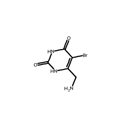 NCc1[nH]c(=O)[nH]c(=O)c1Br